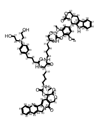 CC[C@]1(OC(=O)NCCCC[C@H](NC(=O)CCCc2ccc(N(CCO)CCO)cc2)C(=O)NCCCC[C@@H](C=O)NC(=O)Oc2c(OC)cc([C@H]3c4[nH]c5ccccc5c4CC4COC(=O)N43)cc2OC)C(=O)OCc2c1cc1n(c2=O)Cc2cc3ccccc3nc2-1